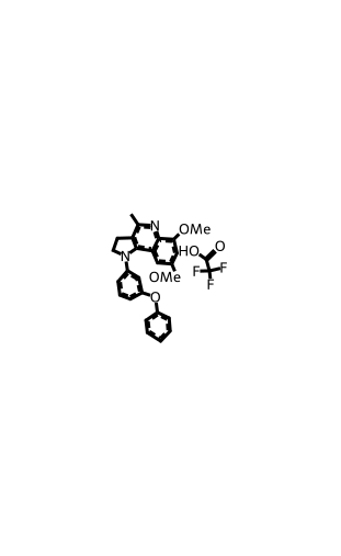 COc1cc(OC)c2nc(C)c3c(c2c1)N(c1cccc(Oc2ccccc2)c1)CC3.O=C(O)C(F)(F)F